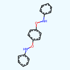 c1ccc(NOc2ccc(ONc3ccccc3)cc2)cc1